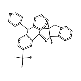 FC(F)(F)c1ccc(P(c2ccccc2)c2ccccc2)c(C2=N[C@H]3c4ccccc4C[C@H]3O2)c1